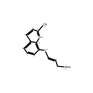 CCCCCCCCCCC=COc1cccc2ccc(C#N)nc12